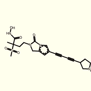 CN1CCC(C#CC#Cc2cc3n(c2)C(=O)N(CCC(C)(C(=O)NO)S(C)(=O)=O)C3)C1